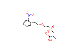 CC(CS(=O)(=O)CCOCCc1ccccc1[N+](=O)[O-])C(=O)O